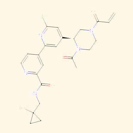 C=CC(=O)N1CCN(C(C)=O)[C@@H](c2cc(Cl)nc(-c3ccnc(C(=O)NCC4(O)CC4)c3)c2)C1